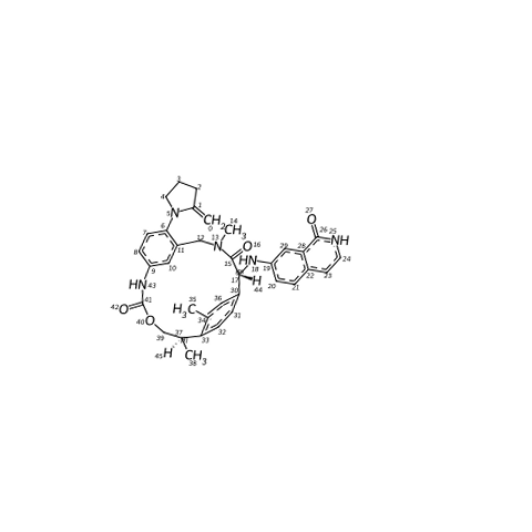 C=C1CCCN1c1ccc2cc1CN(C)C(=O)[C@H](Nc1ccc3cc[nH]c(=O)c3c1)c1ccc(c(C)c1)[C@@H](C)COC(=O)N2